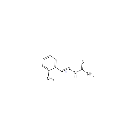 Cc1ccccc1/C=N/NC(N)=S